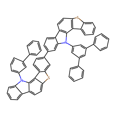 c1ccc(-c2cccc(-n3c4ccccc4c4ccc5sc6cc(-c7ccc8c9ccc%10sc%11ccccc%11c%10c9n(-c9cc(-c%10ccccc%10)cc(-c%10ccccc%10)c9)c8c7)ccc6c5c43)c2)cc1